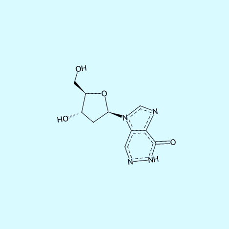 O=c1[nH]ncc2c1ncn2[C@H]1C[C@H](O)[C@@H](CO)O1